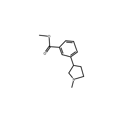 COC(=O)c1cccc(C2CCN(C)C2)c1